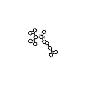 c1ccc(-c2nc(-c3cc(-n4c5ccccc5c5ccccc54)cc(-n4c5ccccc5c5ccccc54)c3)cc(-c3ccc4cc(-c5ccc(-n6c7ccccc7c7ccccc76)cc5)ccc4c3)n2)cc1